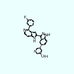 Oc1cncc(-c2ccc3[nH]nc(-c4cc5c(-c6cccc(F)c6)nccc5[nH]4)c3c2)c1